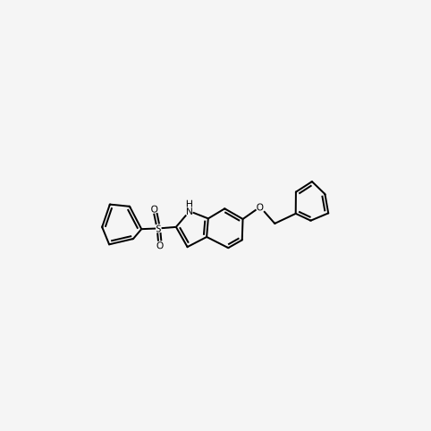 O=S(=O)(c1ccccc1)c1cc2ccc(OCc3ccccc3)cc2[nH]1